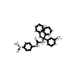 O=C(Nc1ccc([N+](=O)O)cc1)NC(Cc1ccccc1)(c1cccc(C(F)(F)F)c1)c1ccccn1